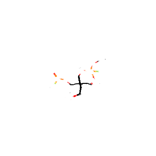 CO[PH]1(F)OCC(CO)(CO[PH](=O)F)CO1